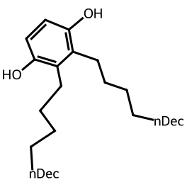 CCCCCCCCCCCCCCc1c(O)ccc(O)c1CCCCCCCCCCCCCC